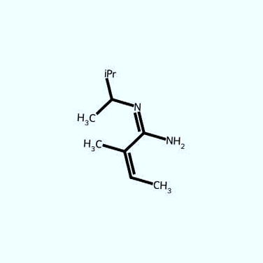 C/C=C(C)\C(N)=N/C(C)C(C)C